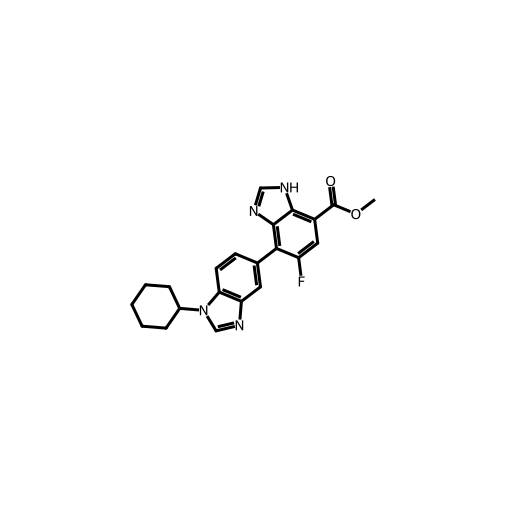 COC(=O)c1cc(F)c(-c2ccc3c(c2)ncn3C2CCCCC2)c2nc[nH]c12